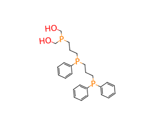 OCP(CO)CCCP(CCCP(c1ccccc1)c1ccccc1)c1ccccc1